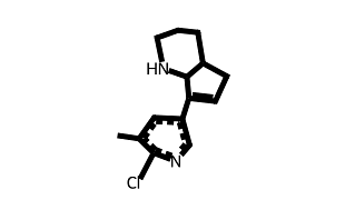 Cc1cc(C2=CCC3CCCNC23)cnc1Cl